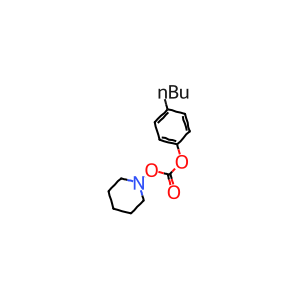 CCCCc1ccc(OC(=O)ON2CCCCC2)cc1